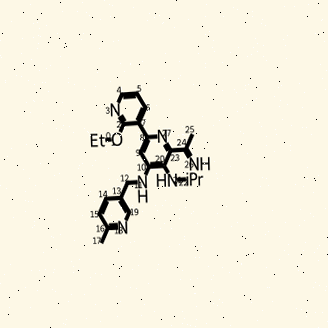 CCOc1ncccc1-c1cc(NCc2ccc(C)nc2)c(NC(C)C)c(C(C)=N)n1